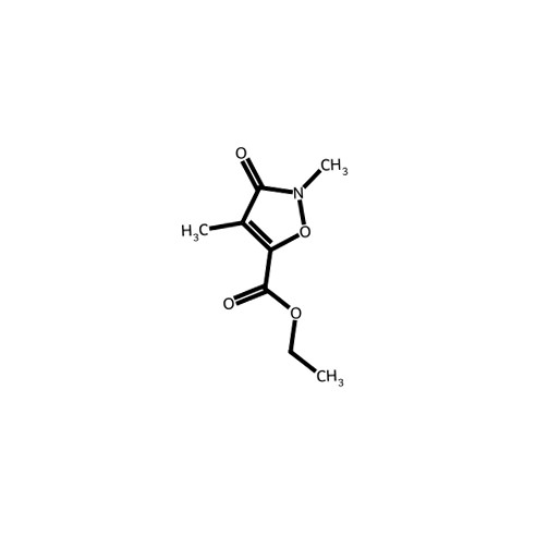 CCOC(=O)c1on(C)c(=O)c1C